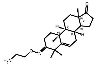 CC1(C)C2=CC[C@@H]3[C@@H](CC[C@]4(C)C(=O)CC[C@@H]34)[C@@]2(C)CCC1=NOCCN